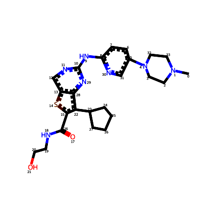 CN1CCN(c2ccc(Nc3ncc4sc(C(=O)NCCO)c(C5CCCC5)c4n3)nc2)CC1